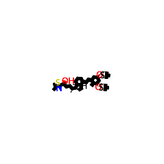 C=C1/C(=C\C=C2/CCC[C@]3(C)[C@@H]([C@H](C)CCC(O)c4nc(C)cs4)CC[C@@H]23)C[C@@H](O[Si](C)(C)C(C)(C)C)C[C@@H]1O[Si](C)(C)C(C)(C)C